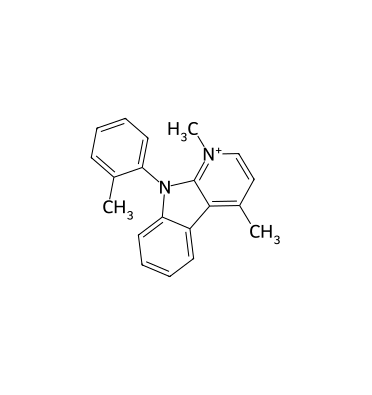 Cc1ccccc1-n1c2ccccc2c2c(C)cc[n+](C)c21